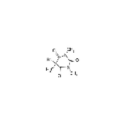 CN1C(=O)N(C)C(=O)C(C)(Br)C1=O